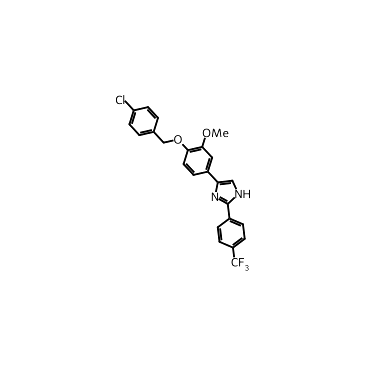 COc1cc(-c2c[nH]c(-c3ccc(C(F)(F)F)cc3)n2)ccc1OCc1ccc(Cl)cc1